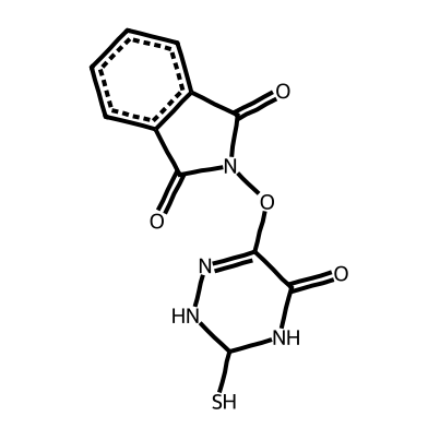 O=C1NC(S)NN=C1ON1C(=O)c2ccccc2C1=O